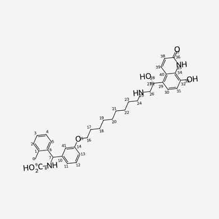 Cc1ccccc1C(NC(=O)O)c1cccc(OCCCCCCCCCNC[C@H](O)c2ccc(O)c3[nH]c(=O)ccc23)c1